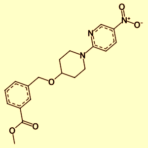 COC(=O)c1cccc(COC2CCN(c3ccc([N+](=O)[O-])cn3)CC2)c1